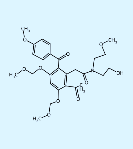 COCCN(CCO)C(=O)Cc1c(C(C)=O)c(OCOC)cc(OCOC)c1C(=O)c1ccc(OC)cc1